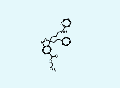 CCOC(=O)c1ccc2c(c1)C(CCCNc1ccccn1)(CCc1ccccc1)N=N2